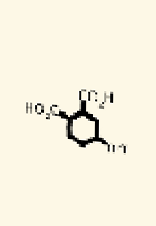 CCCC1CCC(C(=O)O)C(C(=O)O)C1